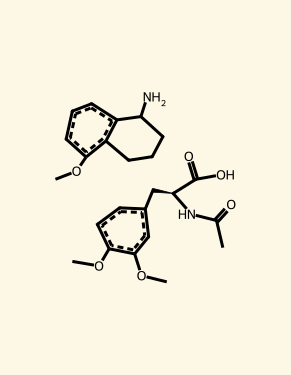 COc1ccc(C[C@H](NC(C)=O)C(=O)O)cc1OC.COc1cccc2c1CCCC2N